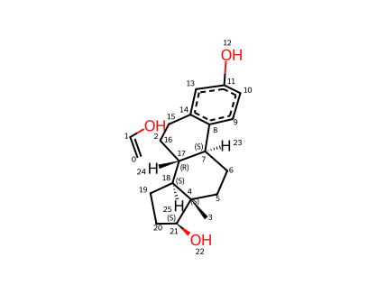 C=CO.C[C@]12CC[C@@H]3c4ccc(O)cc4CC[C@H]3[C@@H]1CC[C@@H]2O